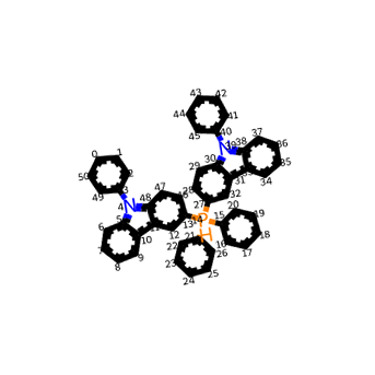 c1ccc(-n2c3ccccc3c3cc([PH](c4ccccc4)(c4ccccc4)c4ccc5c(c4)c4ccccc4n5-c4ccccc4)ccc32)cc1